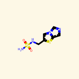 NS(=O)(=O)NCc1cn2cncc2s1